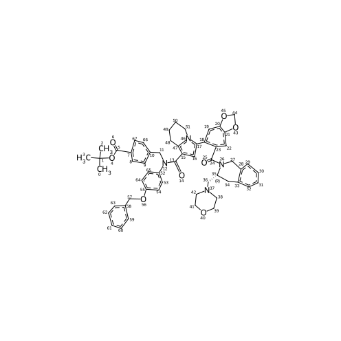 CC(C)(C)OC(=O)c1ccc(CN(C(=O)c2cc(-c3cc4c(cc3C(=O)N3Cc5ccccc5C[C@@H]3CN3CCOCC3)OCO4)n3c2CCCC3)c2ccc(OCc3ccccc3)cc2)cc1